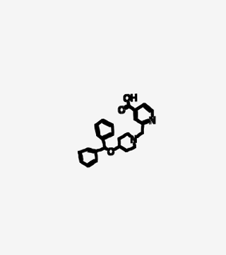 O=C(O)c1ccnc(CN2CCC(OC(c3ccccc3)c3ccccc3)CC2)c1